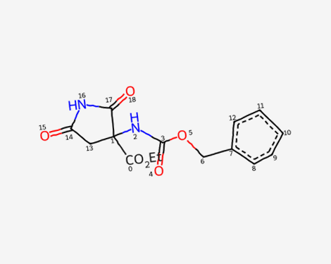 CCOC(=O)C1(NC(=O)OCc2ccccc2)CC(=O)NC1=O